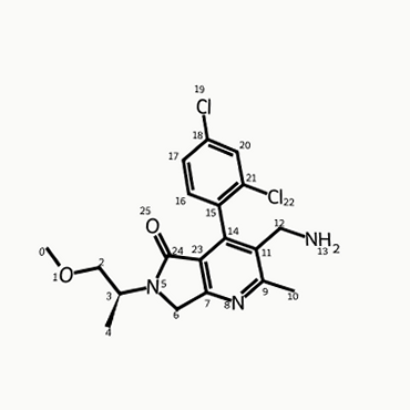 COC[C@H](C)N1Cc2nc(C)c(CN)c(-c3ccc(Cl)cc3Cl)c2C1=O